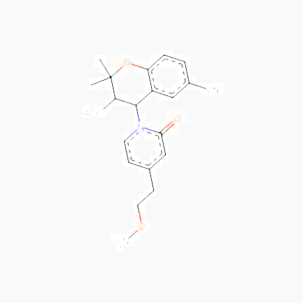 CC(=O)OC1C(n2ccc(CCO[N+](=O)[O-])cc2=O)c2cc(C#N)ccc2OC1(C)C